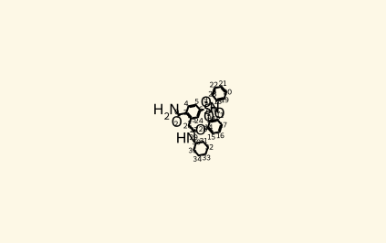 NC(=O)c1ccc(S(=O)(=O)N(Oc2ccccc2)c2ccccc2)cc1CC(=O)NC1CCCCC1